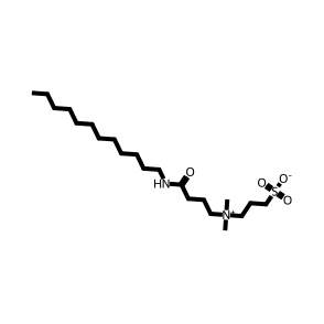 CCCCCCCCCCCCNC(=O)CCC[N+](C)(C)CCCS(=O)(=O)[O-]